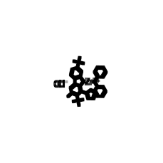 Cc1cc2c(c(C3=CC=CC3)c1C(C)(C)C)[CH]([Zr+2]=[C](c1ccccc1)c1ccccc1)c1cc(C(C)(C)C)ccc1-2.[Cl-].[Cl-]